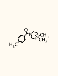 Cc1ccc(C(=O)N2CC[Si](C)(C)CC2)cc1